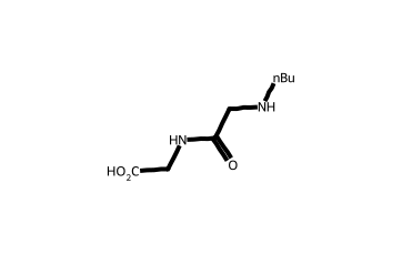 CCCCNCC(=O)NCC(=O)O